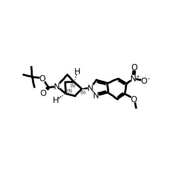 COc1cc2nn([C@H]3C[C@@H]4C[C@H]3CN4C(=O)OC(C)(C)C)cc2cc1[N+](=O)[O-]